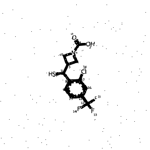 O=C(O)N1CC(C(S)c2ccc(C(F)(F)F)cc2Cl)C1